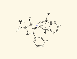 NC(=S)N1N=C(c2ccccc2)/C(=N\Nc2ccccc2[N+](=O)[O-])C1=O